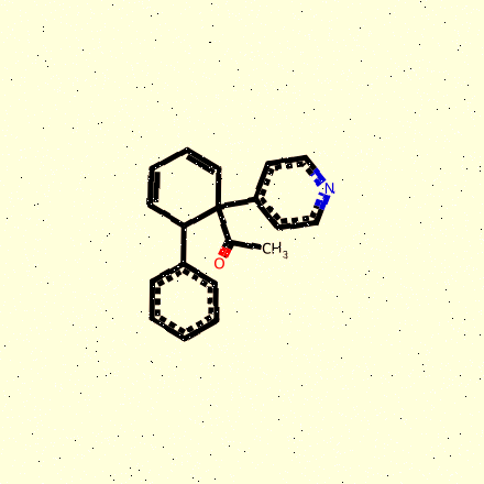 CC(=O)C1(c2ccncc2)C=CC=CC1c1ccccc1